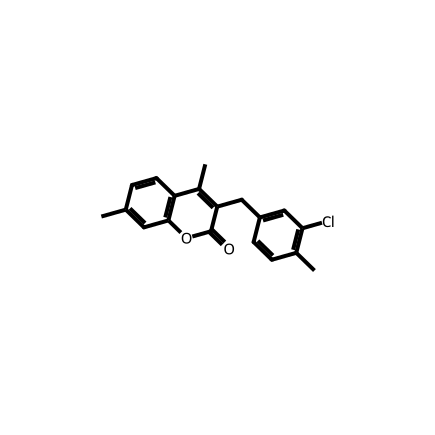 Cc1ccc2c(C)c(Cc3ccc(C)c(Cl)c3)c(=O)oc2c1